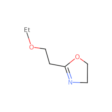 CCOCCC1=NCCO1